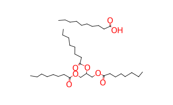 CCCCCCCC(=O)OCC(COC(=O)CCCCCCC)OC(=O)CCCCCCC.CCCCCCCCCC(=O)O